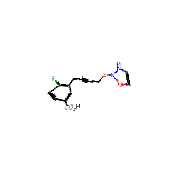 O=C(O)c1ccc(F)c(CC#CCSN2NC=CO2)c1